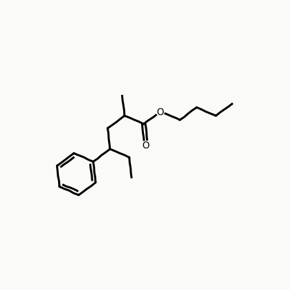 CCCCOC(=O)C(C)CC(CC)c1ccccc1